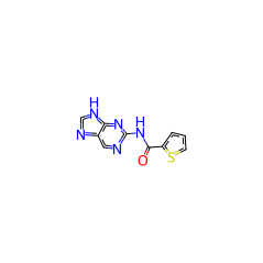 O=C(Nc1ncc2nc[nH]c2n1)c1cccs1